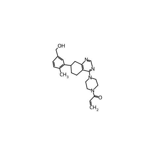 C=CC(=O)N1CCN(c2ncnc3c2CCC(c2cc(CO)ccc2C)C3)CC1